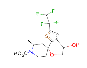 C[C@H]1CC2(CCN1C(=O)O)OCC(O)c1cc(C(F)(F)C(F)F)sc12